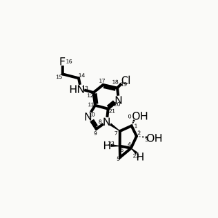 O[C@@H]1[C@H](O)[C@@H]2C[C@@H]2[C@H]1n1cnc2c(NCCF)cc(Cl)nc21